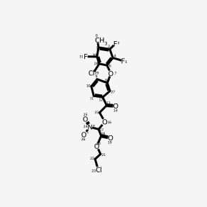 Cc1c(F)c(F)c(Oc2cccc(C(=O)COC(C(=O)OCCCl)[N+](=O)[O-])c2)c(Cl)c1F